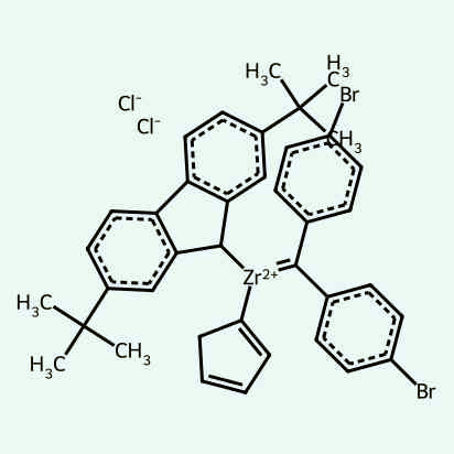 CC(C)(C)c1ccc2c(c1)[CH]([Zr+2]([C]1=CC=CC1)=[C](c1ccc(Br)cc1)c1ccc(Br)cc1)c1cc(C(C)(C)C)ccc1-2.[Cl-].[Cl-]